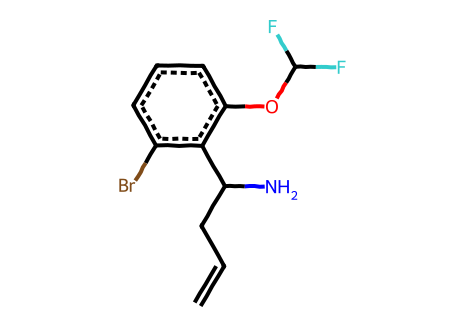 C=CCC(N)c1c(Br)cccc1OC(F)F